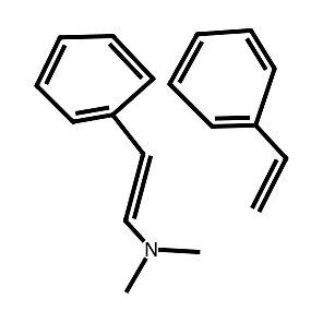 C=Cc1ccccc1.CN(C)C=Cc1ccccc1